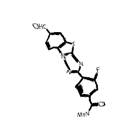 CNC(=O)c1ccc(-c2nc3sc4cc(C=O)ccc4n3n2)c(F)c1